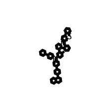 Cc1ccc(N(c2ccc(-c3ccccc3)cc2)c2ccc(-c3ccc(-c4cccc5ccccc45)cc3)cc2)cc1-c1cccc2c1c1ccccc1n2-c1ccc2c(c1)sc1ccccc12